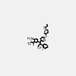 C=CC(=O)N1CCC(Oc2ccc(/C(=C(/CC(F)(F)F)c3ccccc3)c3ccc(N)c(/C(F)=C/CC)c3)cn2)CC1